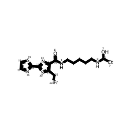 CCC(O)NCCCCCNC(=O)c1nc(-c2nccs2)sc1CC(C)C